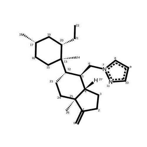 C=C1CC[C@H]2[C@H](Cn3cccn3)[C@@H]([C@@]3(C)CC[C@H](C)C[C@@H]3CC)CC[C@]12C